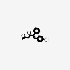 O=C(CC1CO1)/C(=C/c1ccc(Cl)cc1)c1ccccc1